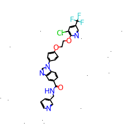 O=C(NCc1cccnc1)c1ccc2c(c1)ncn2-c1ccc(OCCOc2ncc(C(F)(F)F)cc2Cl)cc1